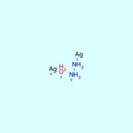 N.N.O.[Ag].[Ag]